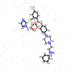 Clc1ccc(C(Oc2ccc(N3CCN(CCNc4ccccc4)CC3)cc2)[C@@H]2CO[C@H](Cn3ccnc3)O2)c(Cl)c1